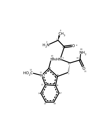 C[C@H](N)C(=O)N[C@@H](Cc1c(C(C)(C)C)n(C(=O)O)c2ccccc12)C(N)=O